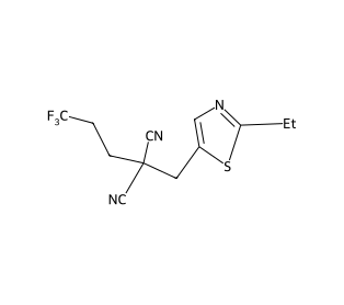 CCc1ncc(CC(C#N)(C#N)CCC(F)(F)F)s1